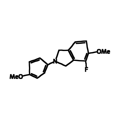 COc1ccc(N2Cc3ccc(OC)c(F)c3C2)cc1